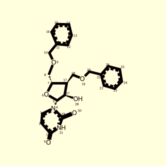 O=c1ccn([C@@H]2O[C@H](COCc3ccccc3)[C@@H](COCc3ccccc3)[C@H]2O)c(=O)[nH]1